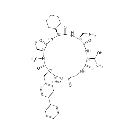 CCCCCC[C@H]1OC(=O)CNC(=O)[C@H](C(C)O)NC(=O)[C@H](CN)NC(=O)[C@H](C2CCCCC2)NC(=O)[C@H](CC(C)C)N(C)C(=O)[C@@H]1Cc1ccc(-c2ccccc2)cc1